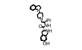 CC(C)[C@H](CN1CCC(N2CCc3ccccc32)CC1)NC(=O)[C@H]1Cc2ccc(O)cc2CN1